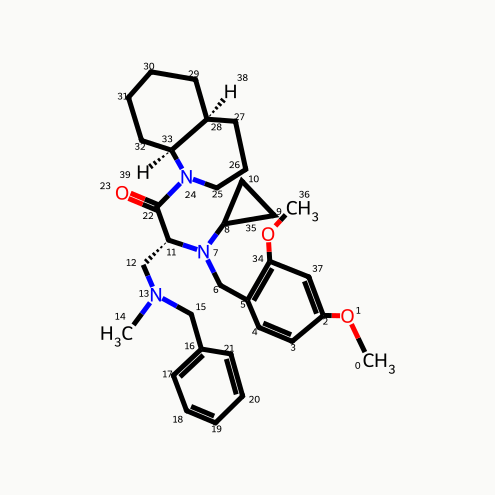 COc1ccc(CN(C2CC2)[C@H](CN(C)Cc2ccccc2)C(=O)N2CCC[C@@H]3CCCC[C@@H]32)c(OC)c1